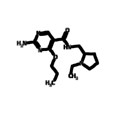 CCCOc1nc(N)ncc1C(=O)NCC1CCCN1CC